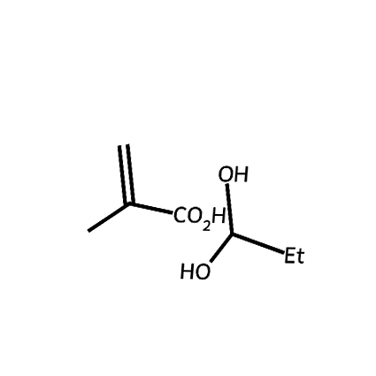 C=C(C)C(=O)O.CCC(O)O